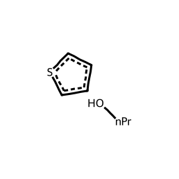 CCCO.c1ccsc1